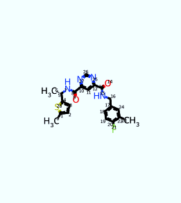 Cc1ccc([C@H](C)NC(=O)c2cc(C(=O)NCc3ccc(F)c(C)c3)ncn2)s1